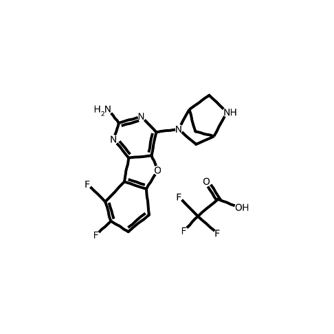 Nc1nc(N2CC3CC2CN3)c2oc3ccc(F)c(F)c3c2n1.O=C(O)C(F)(F)F